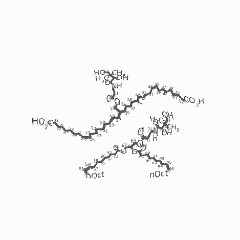 CC(C)(CO)C(O)C(=O)NCCC(=O)OCC(CCCCCCCC/C=C\CCCCCCCC(=O)O)CCCCCCCCC/C=C\CCCCCCCC(=O)O.CCCCCCCC/C=C\CCCCCCCC(=O)OCC(COC(=O)CCNC(=O)C(O)C(C)(C)CO)OC(=O)CCCCCCC/C=C\CCCCCCCC